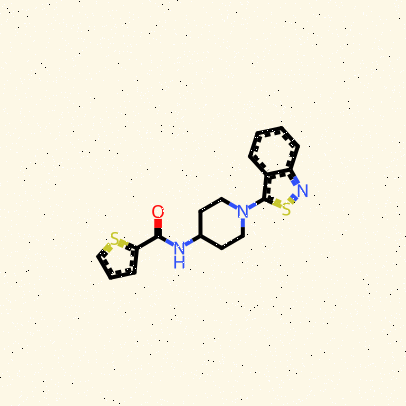 O=C(NC1CCN(c2snc3ccccc23)CC1)c1cccs1